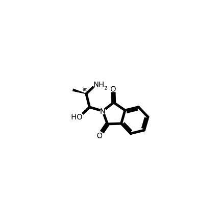 C[C@@H](N)C(O)N1C(=O)c2ccccc2C1=O